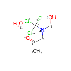 CC(=O)CN(CO)C(Cl)(Cl)Cl.O